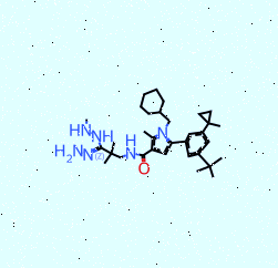 CNN/C(=N\N)C(C)(C)CNC(=O)c1cc(-c2cc(C(C)(C)C)cc(C3(C)CC3)c2)n(CC2CCCCC2)c1C